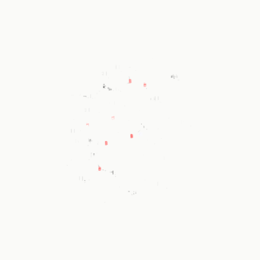 BBB(B)B(B(B)B)B(B(/N=B/B(B(B(B(B)B)B(B)B)B(B(B)B)B(B)B)B(B(B(B)B)B(B)B)B(B(B)B)B(B)B)B(B(B(B)B)B(B)B)B(B(B)B)B(B)B)B(B(B(B)B)B(B)B)B(B(B)B)B(B)B